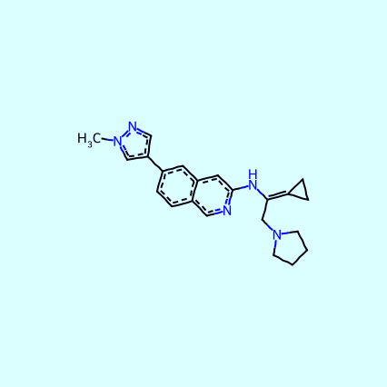 Cn1cc(-c2ccc3cnc(NC(CN4CCCC4)=C4CC4)cc3c2)cn1